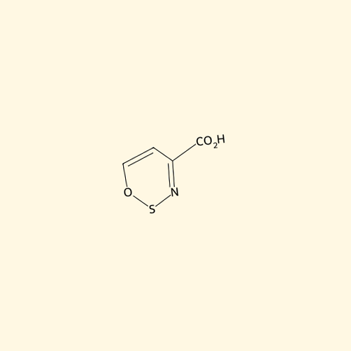 O=C(O)C1=NSOC=C1